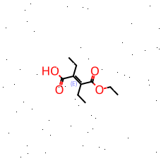 CCOC(=O)/C(CC)=C(\CC)C(=O)O